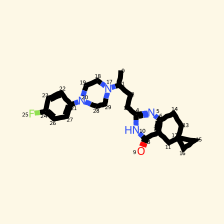 CC(CCc1nc2c(c(=O)[nH]1)CC1(CC2)CC1)N1CCN(c2ccc(F)cc2)CC1